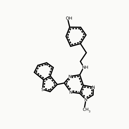 Cn1cnc2c(NCCc3ccc(O)cc3)nc(-c3csc4ccccc34)nc21